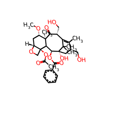 CO[C@H]1C[C@H]2OC[C@@]2(OC(C)=O)C2[C@H](OC(=O)c3ccccc3)[C@]3(O)C[C@H](CO)C(C)=C([C@@H](CO)C(=O)[C@@]21C)C3(C)C